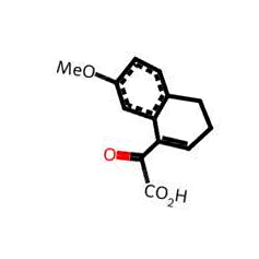 COc1ccc2c(c1)C(C(=O)C(=O)O)=CCC2